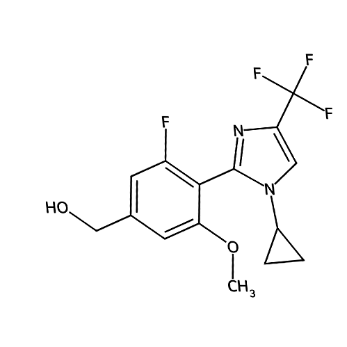 COc1cc(CO)cc(F)c1-c1nc(C(F)(F)F)cn1C1CC1